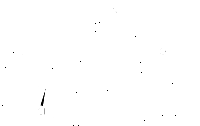 C[C@H]1CCCCCc2ncc(OI)cc2CC1